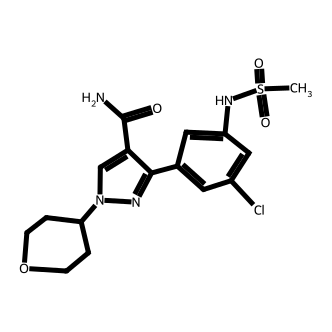 CS(=O)(=O)Nc1cc(Cl)cc(-c2nn(C3CCOCC3)cc2C(N)=O)c1